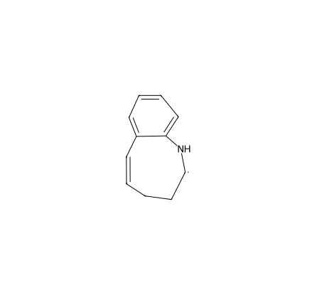 [CH]1CCC=Cc2ccccc2N1